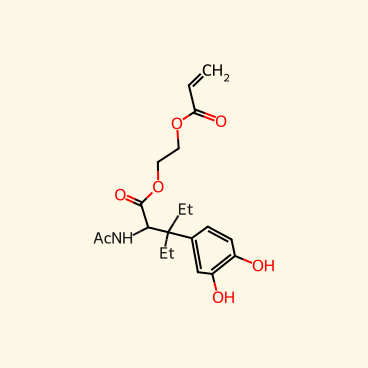 C=CC(=O)OCCOC(=O)C(NC(C)=O)C(CC)(CC)c1ccc(O)c(O)c1